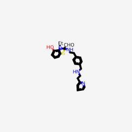 CCN1c2c(O)cccc2SC1(C=O)NCCc1ccc(CNCCc2ccccn2)cc1